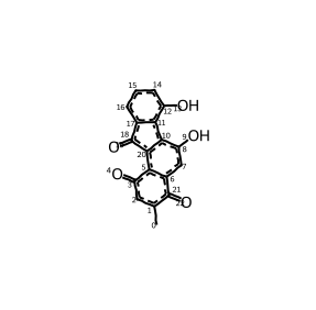 Cc1cc(=O)c2c(cc(O)c3c4c(O)cccc4c(=O)c32)c1=O